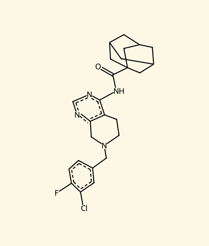 O=C(Nc1ncnc2c1CCN(Cc1ccc(F)c(Cl)c1)C2)C12CC3CC(CC(C3)C1)C2